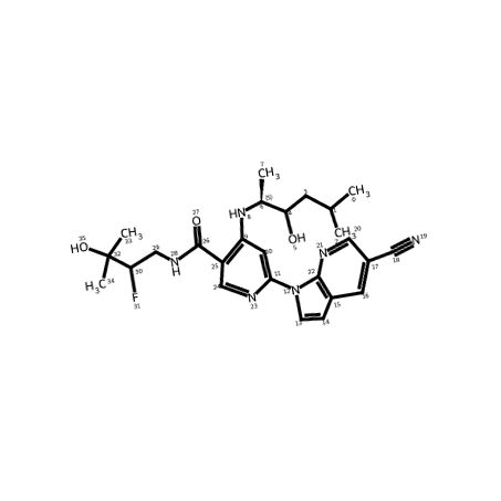 CC(C)CC(O)[C@H](C)Nc1cc(-n2ccc3cc(C#N)cnc32)ncc1C(=O)NCC(F)C(C)(C)O